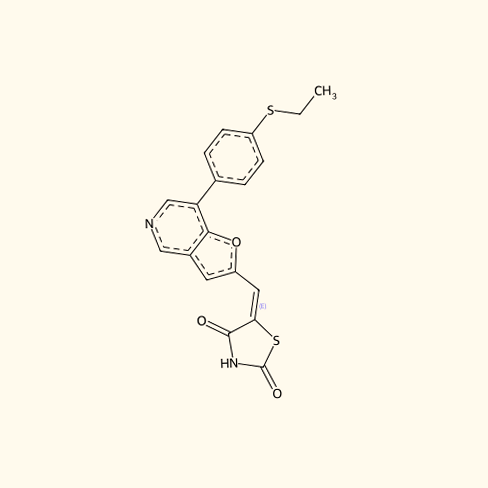 CCSc1ccc(-c2cncc3cc(/C=C4/SC(=O)NC4=O)oc23)cc1